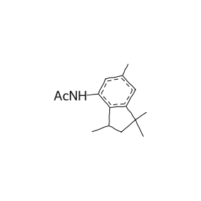 CC(=O)Nc1cc(C)cc2c1C(C)CC2(C)C